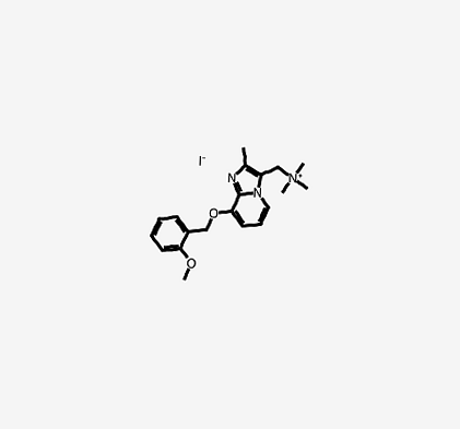 COc1ccccc1COc1cccn2c(C[N+](C)(C)C)c(C)nc12.[I-]